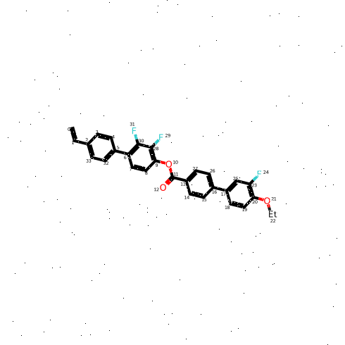 C=Cc1ccc(-c2ccc(OC(=O)c3ccc(-c4ccc(OCC)c(F)c4)cc3)c(F)c2F)cc1